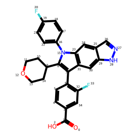 O=C(O)c1ccc(-c2c(C3CCOCC3)n(-c3ccc(F)cc3)c3cc4cn[nH]c4cc23)c(F)c1